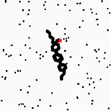 CCCCCC1(C=O)CCC(c2ccc(-c3ccc(CCC)cc3)cc2)CC1